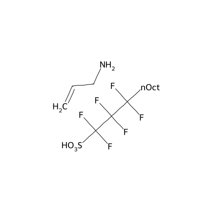 C=CCN.CCCCCCCCC(F)(F)C(F)(F)C(F)(F)S(=O)(=O)O